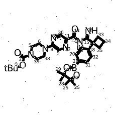 CC(C)(C)OC(=O)N1CCN(c2cnc(C(=O)NC(=N)C3(c4ccc(B5OC(C)(C)C(C)(C)O5)cc4)CCC3)cn2)CC1